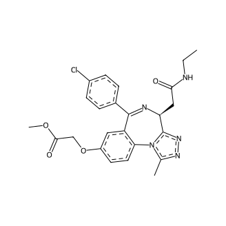 CCNC(=O)C[C@@H]1N=C(c2ccc(Cl)cc2)c2cc(OCC(=O)OC)ccc2-n2c(C)nnc21